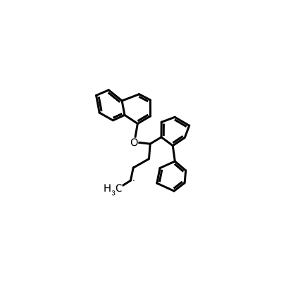 C[CH]CCC(Oc1cccc2ccccc12)c1ccccc1-c1ccccc1